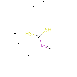 C=IC(S)S